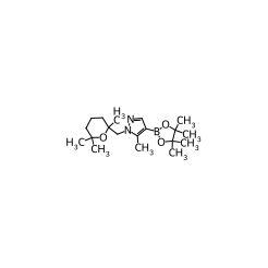 Cc1c(B2OC(C)(C)C(C)(C)O2)cnn1CC1(C)CCCC(C)(C)O1